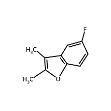 Cc1oc2ccc(F)cc2c1C